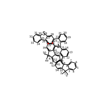 CC1(C)c2ccccc2-c2c(-c3cccc(N(c4ccccc4-c4ccc5c(c4)sc4ccccc45)c4cccc5c4-c4ccccc4C5(C)C)c3)cccc21